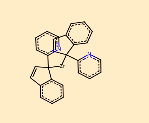 C1=C[C]([Zr][C]2(c3ccccn3)C=Cc3ccccc32)(c2ccccn2)c2ccccc21